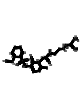 Cc1ccc(NS(=O)(=O)c2ccccc2N=O)c(=O)n1CC(=O)NCCONC(=N)N